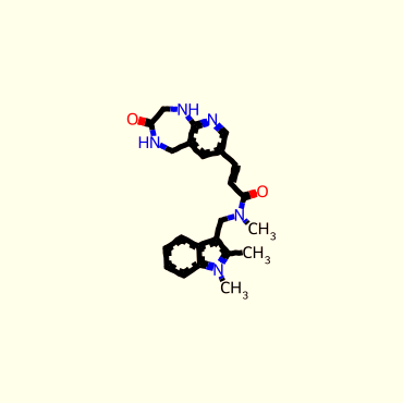 Cc1c(CN(C)C(=O)C=Cc2cnc3c(c2)CNC(=O)CN3)c2ccccc2n1C